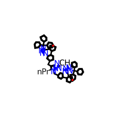 CCCc1c(Cc2ccc(-c3ccccc3-c3nnnn3C(c3ccccc3)(c3ccccc3)c3ccccc3)cc2)c2nc(C)nn2n1Cc1ccc(-c2ccccc2-c2nnnn2C(c2ccccc2)(c2ccccc2)c2ccccc2)cc1